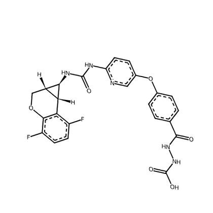 O=C(O)NNC(=O)c1ccc(Oc2ccc(NC(=O)N[C@@H]3[C@H]4COc5c(F)ccc(F)c5[C@H]43)nc2)cc1